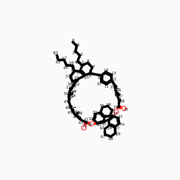 CCCCCC1CCC2C3=C=C=C(C=C3)C3=C=C=C(C=C3)C(=O)Oc3ccc4c(c3-c3c(ccc5c3CCCC5)OC(=O)C3=CC=C(CC3)C3=CC=C(CC3)C3CCC(CCCCC)C1=C23)CCCC4